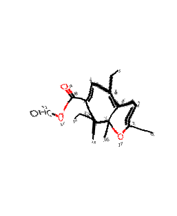 CC1=CC2=C(C)C=C(C(=O)OC=O)C(C)(C)C2(C)O1